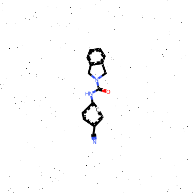 N#Cc1ccc(NC(=O)N2Cc3ccccc3C2)cc1